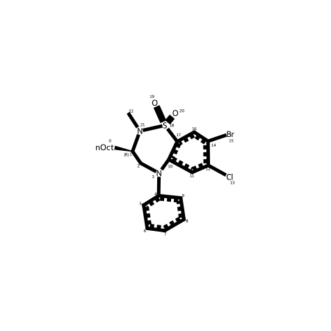 CCCCCCCC[C@@H]1CN(c2ccccc2)c2cc(Cl)c(Br)cc2S(=O)(=O)N1C